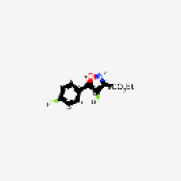 CCOC(=O)c1noc(-c2ccc(F)cc2)c1F